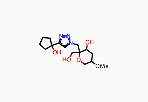 COC1COC(CO)(Cn2cc(C3(O)CCCC3)nn2)C(O)C1